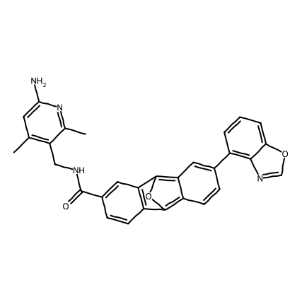 Cc1cc(N)nc(C)c1CNC(=O)c1ccc2c(c1)c1oc2c2ccc(-c3cccc4ocnc34)cc21